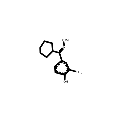 CO/N=C(/c1ccc(O)c(C)c1)C1CCCCC1